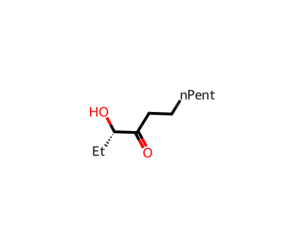 CCCCCCCC(=O)[C@@H](O)CC